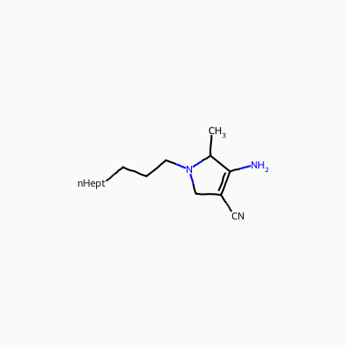 CCCCCCCCCCN1CC(C#N)=C(N)C1C